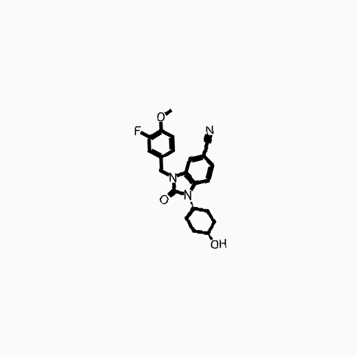 COc1ccc(Cn2c(=O)n([C@H]3CC[C@H](O)CC3)c3ccc(C#N)cc32)cc1F